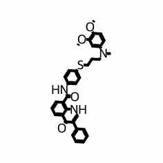 COc1ccc(N(C)CCCSc2ccc(NC(=O)c3cccc4c(=O)c(-c5ccccc5)c[nH]c34)cc2)cc1OC